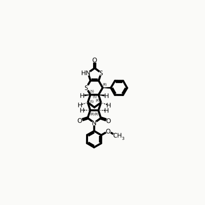 COc1ccccc1N1C(=O)[C@@H]2[C@H]3C[C@H]([C@@H]4Sc5[nH]c(=O)sc5[C@@H](c5ccccc5)[C@H]34)[C@@H]2C1=O